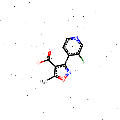 Cc1onc(-c2ccncc2F)c1C(=O)O